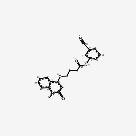 Cn1c(=O)cc(OCCCC(=O)Nc2cccc(C#N)c2)c2ccccc21